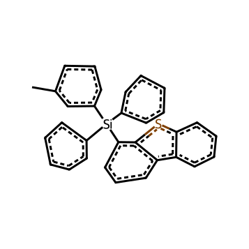 Cc1cccc([Si](c2ccccc2)(c2ccccc2)c2cccc3c2sc2ccccc23)c1